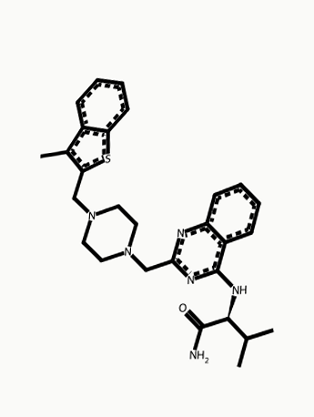 Cc1c(CN2CCN(Cc3nc(N[C@H](C(N)=O)C(C)C)c4ccccc4n3)CC2)sc2ccccc12